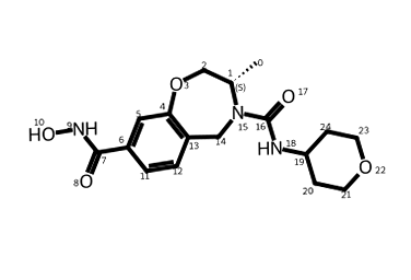 C[C@H]1COc2cc(C(=O)NO)ccc2CN1C(=O)NC1CCOCC1